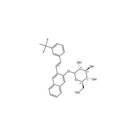 CC(F)(F)c1cccc(/C=C/c2cc3ccccc3cc2OC2O[C@H](CO)[C@@H](O)[C@H](O)[C@H]2O)c1